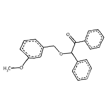 COc1cccc(COC(C(=O)c2ccccc2)c2ccccc2)c1